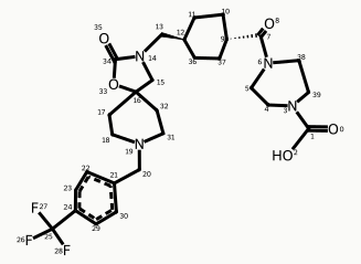 O=C(O)N1CCN(C(=O)[C@H]2CC[C@H](CN3CC4(CCN(Cc5ccc(C(F)(F)F)cc5)CC4)OC3=O)CC2)CC1